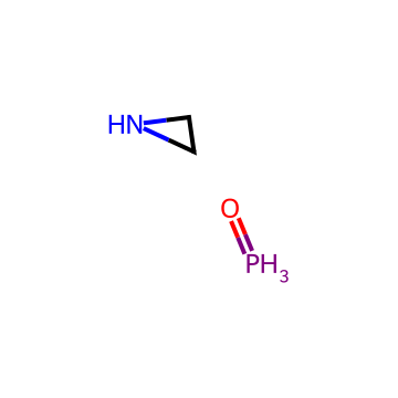 C1CN1.O=[PH3]